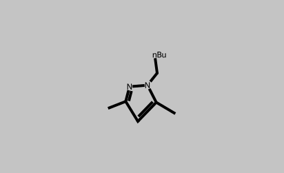 CCCCCn1nc(C)cc1C